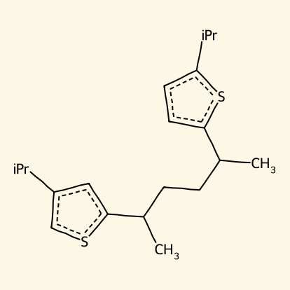 CC(C)c1csc(C(C)CCC(C)c2ccc(C(C)C)s2)c1